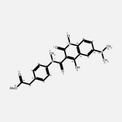 CCn1c(=O)c(C(=O)N(C)c2ccc(CC(=O)OC)cc2)c(O)c2cc(N(C)C)ccc21